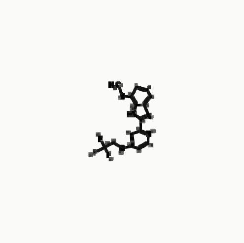 CSc1cccc2nc(-c3cc(OCC(F)(F)F)ccn3)[nH]c12